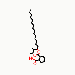 CCCCCCCCCCCCCCCC(OC(=O)C1CC=CCC1C(=O)O)C(C)CC